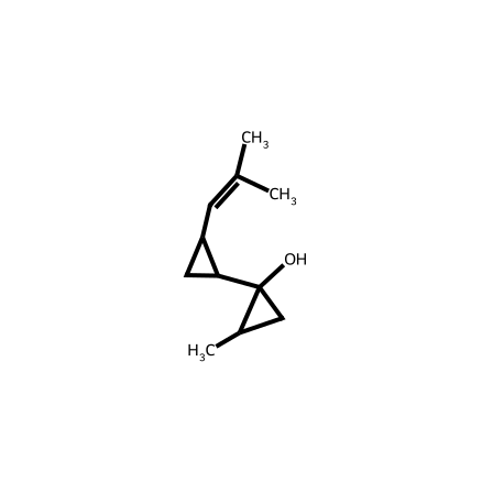 CC(C)=CC1CC1C1(O)CC1C